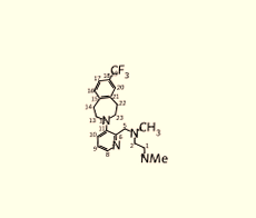 CNCCN(C)Cc1ncccc1N1CCc2ccc(C(F)(F)F)cc2CC1